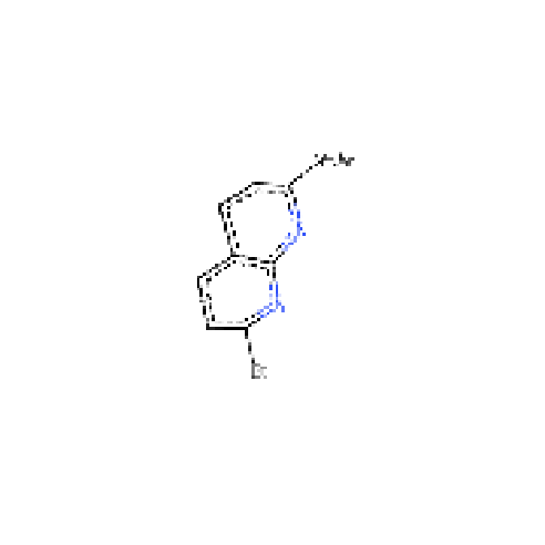 CCc1ccc2ccc(NC(C)=O)nc2n1